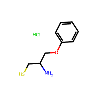 Cl.NC(CS)COc1ccccc1